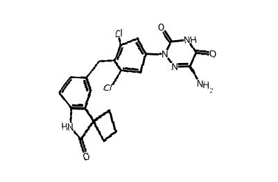 Nc1nn(-c2cc(Cl)c(Cc3ccc4c(c3)C3(CCC3)C(=O)N4)c(Cl)c2)c(=O)[nH]c1=O